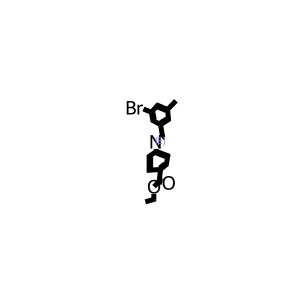 CCOC(=O)c1ccc(/N=C/c2cc(C)cc(Br)c2)cc1